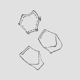 C1=CC2CCC1C2.C1=CC2CCC1C2.c1cnnnn1